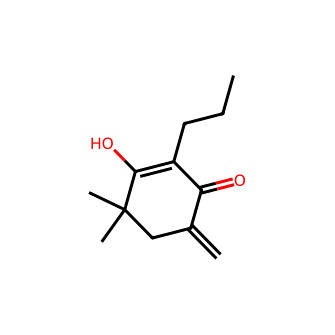 C=C1CC(C)(C)C(O)=C(CCC)C1=O